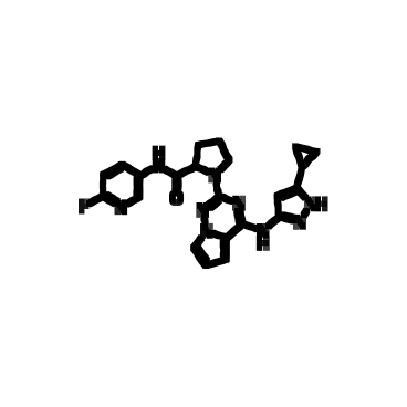 O=C(Nc1ccc(F)nc1)C1CCCN1c1nc(Nc2cc(C3CC3)[nH]n2)c2cccn2n1